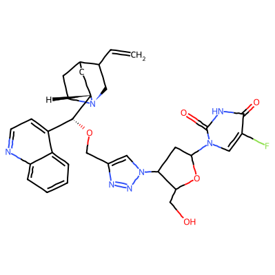 C=CC1C[N@@]2CCC1C[C@H]2[C@H](OCc1cn(C2CC(n3cc(F)c(=O)[nH]c3=O)OC2CO)nn1)c1ccnc2ccccc12